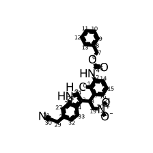 Cc1c(NC(=O)OCc2ccccc2)cccc1C(C[N+](=O)[O-])c1c[nH]c2cc(CC#N)ccc12